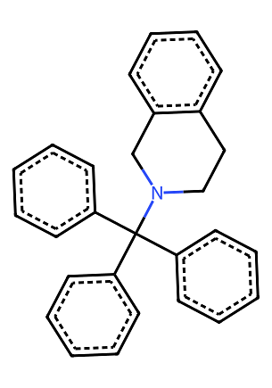 c1ccc(C(c2ccccc2)(c2ccccc2)N2CCc3ccccc3C2)cc1